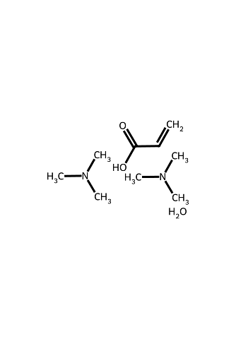 C=CC(=O)O.CN(C)C.CN(C)C.O